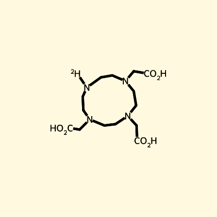 [2H]N1CCN(CC(=O)O)CCN(CC(=O)O)CCN(CC(=O)O)CC1